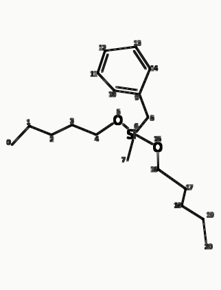 CCCCCO[Si](C)(Cc1ccccc1)OCCCCC